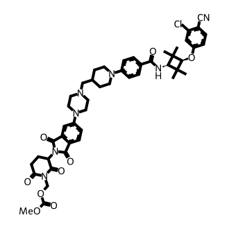 COC(=O)OCN1C(=O)CCC(N2C(=O)c3ccc(N4CCN(CC5CCN(c6ccc(C(=O)N[C@H]7C(C)(C)[C@H](Oc8ccc(C#N)c(Cl)c8)C7(C)C)cc6)CC5)CC4)cc3C2=O)C1=O